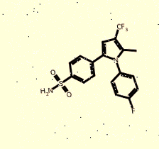 Cc1c(C(F)(F)F)cc(-c2ccc(S(N)(=O)=O)cc2)n1-c1ccc(F)cc1